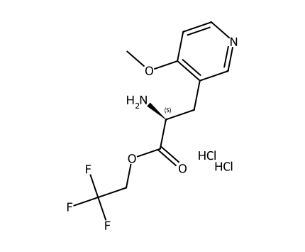 COc1ccncc1C[C@H](N)C(=O)OCC(F)(F)F.Cl.Cl